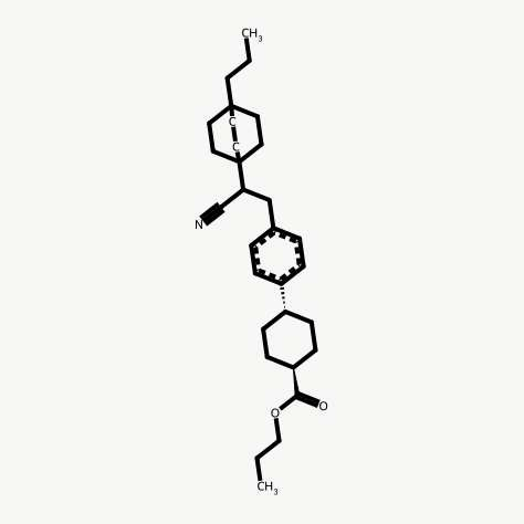 CCCOC(=O)[C@H]1CC[C@H](c2ccc(CC(C#N)C34CCC(CCC)(CC3)CC4)cc2)CC1